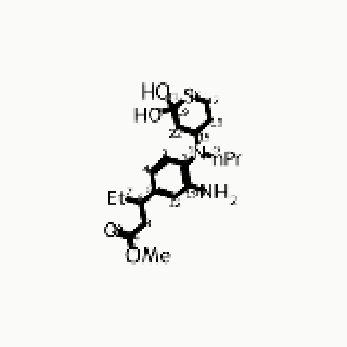 CCCN(c1ccc(C(CC)CC(=O)OC)cc1N)C1CCSC(O)(O)C1